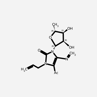 C=CCn1c(C(C)=O)c(N=C)n([C@@H]2O[C@H](C)[C@@H](O)[C@H]2O)c1=O